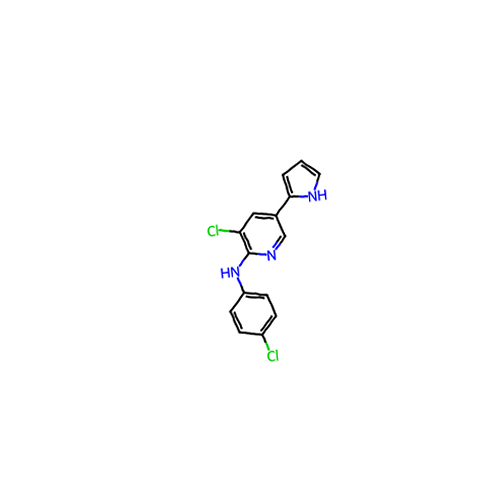 Clc1ccc(Nc2ncc(-c3ccc[nH]3)cc2Cl)cc1